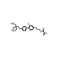 C=C(C)C(=O)OCCCc1ccc(-c2ccc(CCC(CC)(CO)CO)cc2)c(F)c1